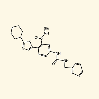 CC(C)(C)N[S+]([O-])c1cc(NC(=O)NCc2ccccc2)ccc1-c1cnc(C2CCCCC2)s1